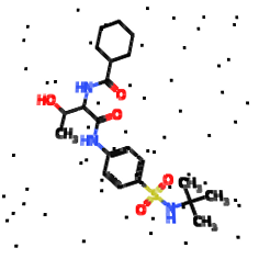 CC(O)C(NC(=O)C1CCCCC1)C(=O)Nc1ccc(S(=O)(=O)NC(C)(C)C)cc1